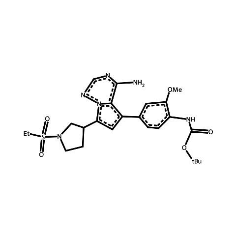 CCS(=O)(=O)N1CCC(c2cc(-c3ccc(NC(=O)OC(C)(C)C)c(OC)c3)c3c(N)ncnn23)C1